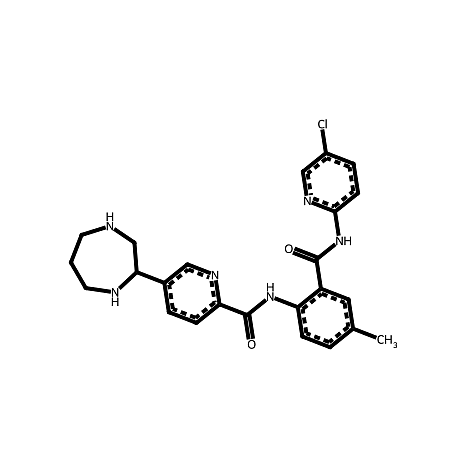 Cc1ccc(NC(=O)c2ccc(C3CNCCCN3)cn2)c(C(=O)Nc2ccc(Cl)cn2)c1